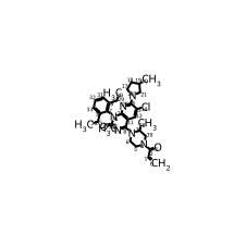 C=CC(=O)N1CCN(/C(=N/C)c2cc(Cl)c(N3CCC(C)C3)nc2N(C=O)c2c(CC)cccc2CC)C(C)C1